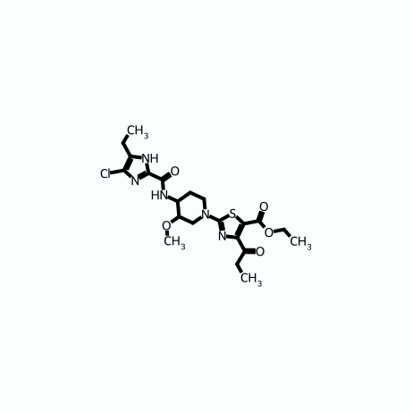 CCOC(=O)c1sc(N2CCC(NC(=O)c3nc(Cl)c(CC)[nH]3)C(OC)C2)nc1C(=O)CC